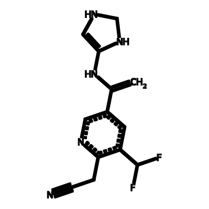 C=C(NC1=CNCN1)c1cnc(CC#N)c(C(F)F)c1